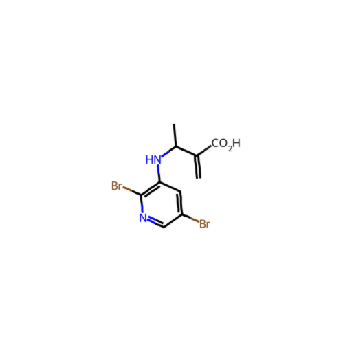 C=C(C(=O)O)C(C)Nc1cc(Br)cnc1Br